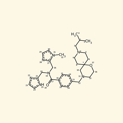 CC(C)CN1CCC2(CC1)CN(Cc1ccc(C(=O)N(Cc3ncc[nH]3)Cc3nccn3C)cc1)CCO2